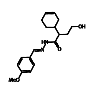 COc1ccc(C=NNC(=O)C(CCO)C2CC=CCC2)cc1